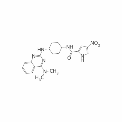 CN(C)c1nc(N[C@H]2CC[C@@H](NC(=O)c3cc([N+](=O)[O-])c[nH]3)CC2)nc2ccccc12